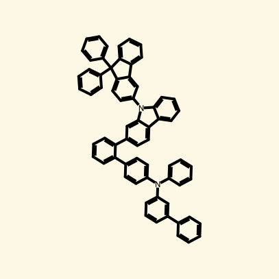 c1ccc(-c2cccc(N(c3ccccc3)c3ccc(-c4ccccc4-c4ccc5c6ccccc6n(-c6ccc7c(c6)-c6ccccc6C7(c6ccccc6)c6ccccc6)c5c4)cc3)c2)cc1